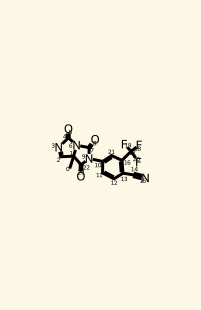 CC12C=NC(=O)N1C(=O)N(c1ccc(C#N)c(C(F)(F)F)c1)C2=O